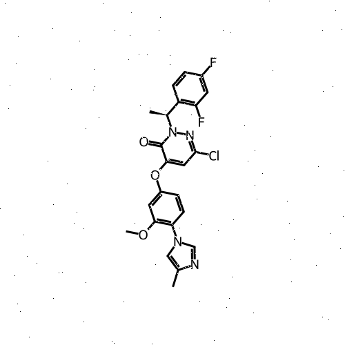 COc1cc(Oc2cc(Cl)nn([C@@H](C)c3ccc(F)cc3F)c2=O)ccc1-n1cnc(C)c1